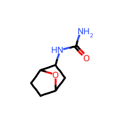 NC(=O)NC1CC2CCC1O2